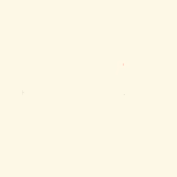 C#Cc1ccc(C(O)C2(C)SCCCS2)cc1